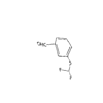 O=Cc1cccc(SC(F)F)c1